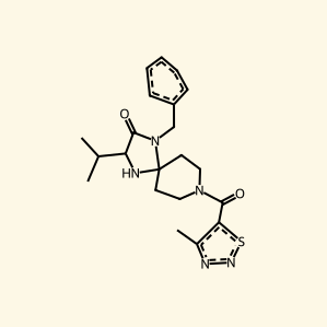 Cc1nnsc1C(=O)N1CCC2(CC1)NC(C(C)C)C(=O)N2Cc1ccccc1